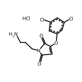 Cl.NCCCN1C(=O)C=C(Oc2cc(Cl)cc(Cl)c2)C1=O